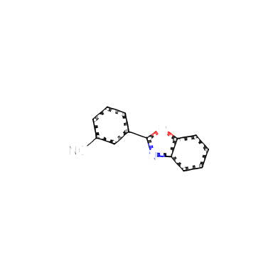 N#Cc1cccc(-c2nc3ccccc3o2)c1